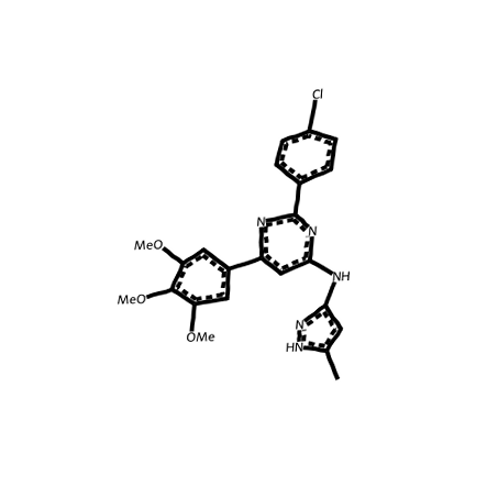 COc1cc(-c2cc(Nc3cc(C)[nH]n3)nc(-c3ccc(Cl)cc3)n2)cc(OC)c1OC